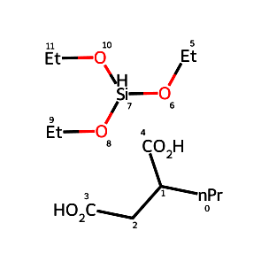 CCCC(CC(=O)O)C(=O)O.CCO[SiH](OCC)OCC